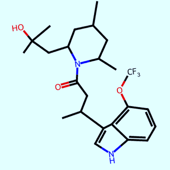 CC1CC(C)N(C(=O)CC(C)c2c[nH]c3cccc(OC(F)(F)F)c23)C(CC(C)(C)O)C1